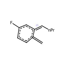 C=c1ccc(F)c/c1=C/CCC